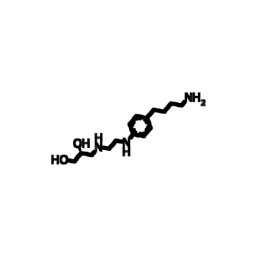 NCCCCc1ccc(NCCNC[C@@H](O)CO)cc1